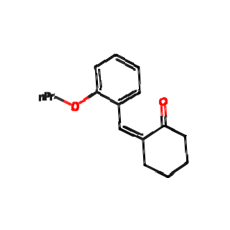 CCCOc1ccccc1C=C1CCCCC1=O